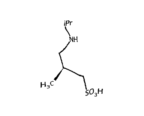 CC(C)NC[C@H](C)CS(=O)(=O)O